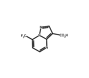 O=C(O)c1cnn2c(C(F)(F)F)ccnc12